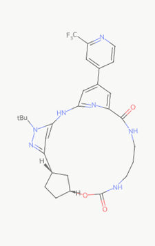 CC(C)(C)n1nc2cc1Nc1cc(-c3ccnc(C(F)(F)F)c3)cc(n1)C(=O)NCCCNC(=O)O[C@@H]1CC[C@H]2C1